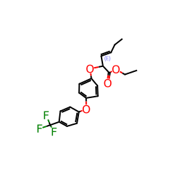 CC/C=C/C(Oc1ccc(Oc2ccc(C(F)(F)F)cc2)cc1)C(=O)OCC